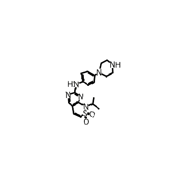 CC(C)N1c2nc(Nc3ccc(N4CCNCC4)cc3)ncc2C=CS1(=O)=O